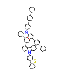 c1ccc(-c2ccc(-c3ccc(N(c4ccc(-c5ccc(-c6ccccc6)cc5)cc4)c4ccccc4-c4cccc(-c5cccc6c5c5ccccc5n6-c5ccc6c(c5)sc5ccccc56)c4)cc3)cc2)cc1